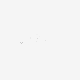 COC(=O)c1cc2c(cc1C)/C(=C(/Nc1ccc(C(=O)NCCNCCO)cc1)c1ccccc1)C(=O)N2